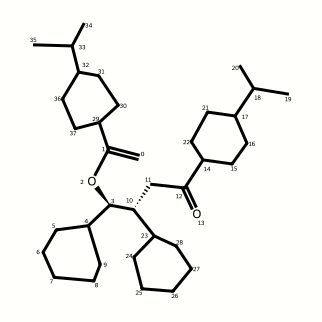 C=C(O[C@H](C1CCCCC1)[C@H](CC(=O)C1CCC(C(C)C)CC1)C1CCCCC1)C1CCC(C(C)C)CC1